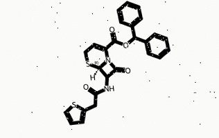 O=C(Cc1cccs1)NC1C(=O)N2C(C(=O)OC(c3ccccc3)c3ccccc3)=CCS[C@H]12